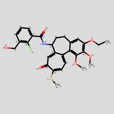 CCOc1cc2c(c(OC)c1OC)-c1ccc(SC)c(=O)cc1C(NC(=O)c1cccc(CO)c1F)CC2